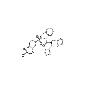 O=C(C1c2ccccc2CN1S(=O)(=O)c1ccc2[nH]c(=O)ccc2c1)N(Cc1ccco1)Cc1cccs1